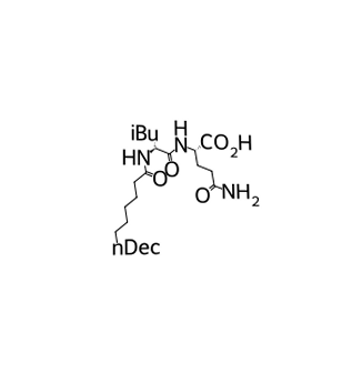 CCCCCCCCCCCCCCCC(=O)N[C@H](C(=O)N[C@@H](CCC(N)=O)C(=O)O)[C@@H](C)CC